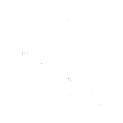 CCN(CCOC)c1cc(C(N)c2cc(CCN=O)ccc2N)ccn1